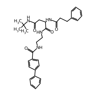 CC(C)(C)NC(=O)CC(NC(=O)CCc1ccccc1)C(=O)NCCNC(=O)c1ccc(-c2ccccc2)cc1